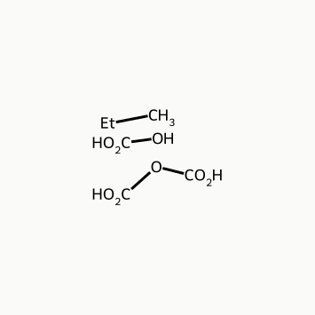 CCC.O=C(O)O.O=C(O)OC(=O)O